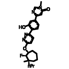 CCC[C@]1(C)CCCC[C@H](Oc2ccc(-c3ccc(-c4cc(=O)n(C)cn4)cc3O)nn2)[C@@H]1F